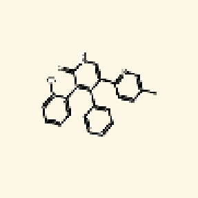 Cc1ccc(-c2c[nH]c(=O)c(-c3ccccc3C#N)c2-c2ccccc2)nc1